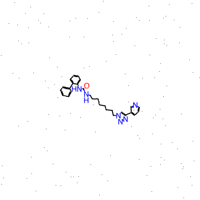 O=C(NCCCCCCCCn1cc(-c2cccnc2)nn1)Nc1ccccc1-c1ccccc1